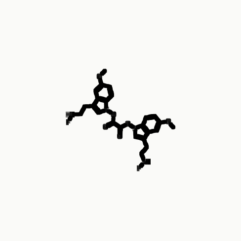 COc1ccc2c(c1)c(CCNF)cn2OC(=O)C(=O)On1cc(CCNF)c2cc(OC)ccc21